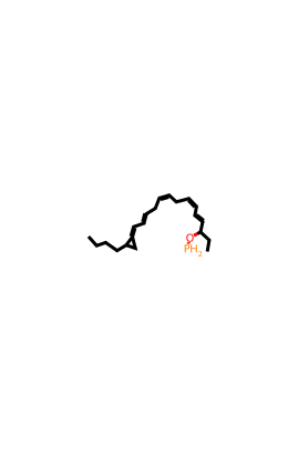 CCCCC1C/C1=C\C=C\C/C=C\C/C=C\C=C\C(CC)OP